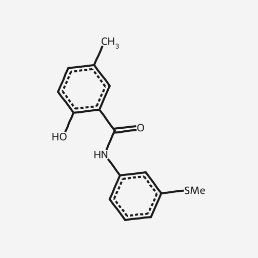 CSc1cccc(NC(=O)c2cc(C)ccc2O)c1